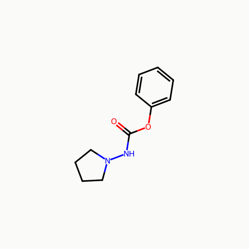 O=C(NN1CCCC1)Oc1ccccc1